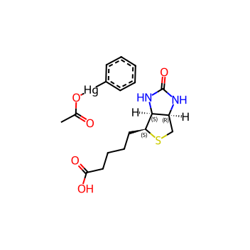 CC(=O)[O][Hg][c]1ccccc1.O=C(O)CCCC[C@@H]1SC[C@@H]2NC(=O)N[C@@H]21